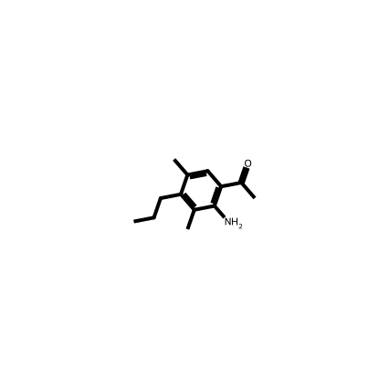 CCCc1c(C)cc(C(C)=O)c(N)c1C